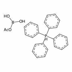 CC(=O)OB(O)O.c1ccc([PH](c2ccccc2)(c2ccccc2)c2ccccc2)cc1